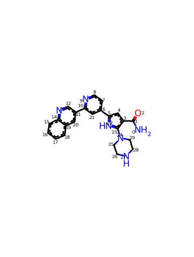 NC(=O)c1cc(-c2ccnc(-c3cnc4ccccc4c3)c2)[nH]c1N1CCNCC1